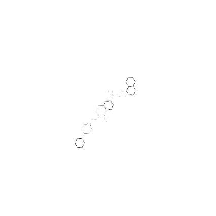 O=C(NCc1cccc2ccccc12)c1ccc2c(c1)CCC(CCN1CCC(c3ccccc3)CC1)C2=O